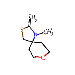 C=C1SCC2(CCOCC2)N1C